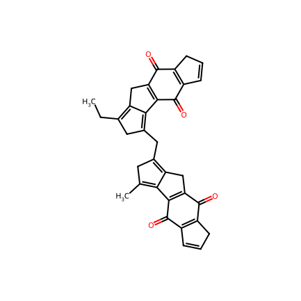 CCC1=C2CC3=C(C(=O)C4=C(CC=C4)C3=O)C2=C(CC2=C3CC4=C(C(=O)C5=C(CC=C5)C4=O)C3=C(C)C2)C1